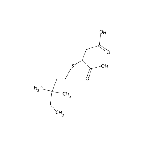 CCC(C)(C)CCSC(CC(=O)O)C(=O)O